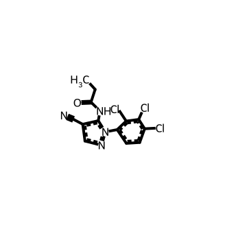 CCC(=O)Nc1c(C#N)cnn1-c1ccc(Cl)c(Cl)c1Cl